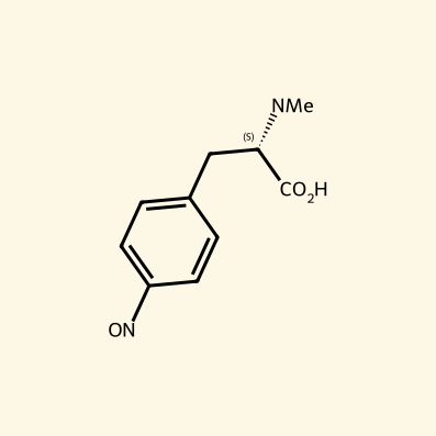 CN[C@@H](Cc1ccc(N=O)cc1)C(=O)O